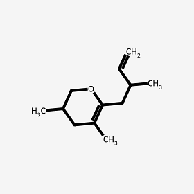 C=CC(C)CC1=C(C)CC(C)CO1